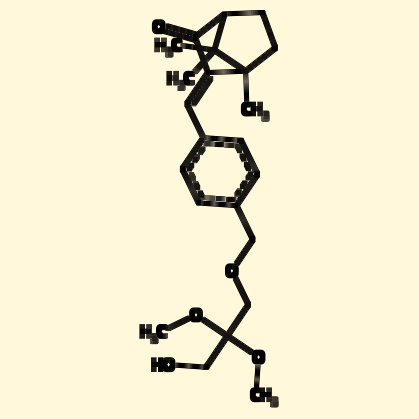 COC(CO)(COCc1ccc(/C=C2/C(=O)C3CCC2(C)C3(C)C)cc1)OC